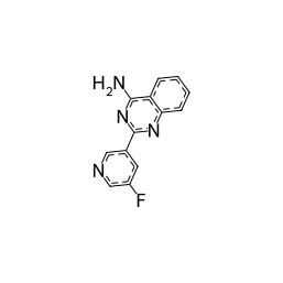 Nc1nc(-c2cncc(F)c2)nc2ccccc12